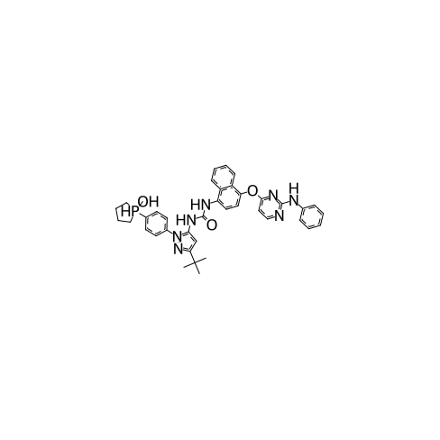 CC(C)(C)c1cc(NC(=O)Nc2ccc(Oc3ccnc(Nc4ccccc4)n3)c3ccccc23)n(-c2ccc([PH]3(O)CCCC3)cc2)n1